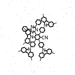 Cc1ccc2c(c1)c1cc(C)ccc1n2-c1ccc(-c2c(C#N)c(-c3ccc(-n4c5ccc(C)cc5c5cc(C)ccc54)cc3)c(-c3nc(-c4ccccc4)nc(-c4ccccc4)n3)c(-n3c4ccc(C)cc4c4cc(C)ccc43)c2-c2ccc(-n3c4ccc(C)cc4c4cc(C)ccc43)cc2)cc1